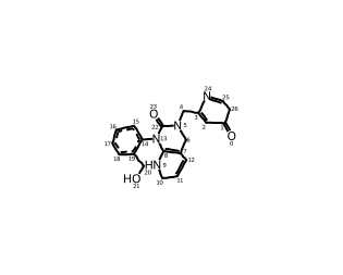 O=C1C=C(CN2CC3=C(NCC=C3)N(c3ccccc3CO)C2=O)N=CC1